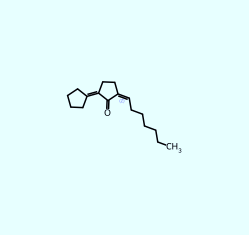 CCCCCC/C=C1/CCC(=C2CCCC2)C1=O